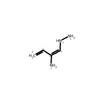 C=C/C(N)=C\NN